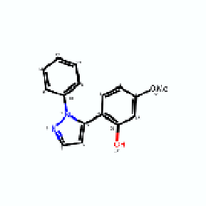 COc1ccc(-c2ccnn2-c2ccccc2)c(O)c1